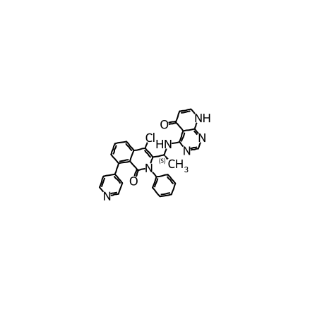 C[C@H](Nc1ncnc2[nH]ccc(=O)c12)c1c(Cl)c2cccc(-c3ccncc3)c2c(=O)n1-c1ccccc1